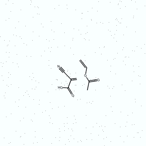 C=C(C#N)C(=O)O.C=COC(C)=O